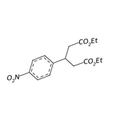 CCOC(=O)CC(CC(=O)OCC)c1ccc([N+](=O)[O-])cc1